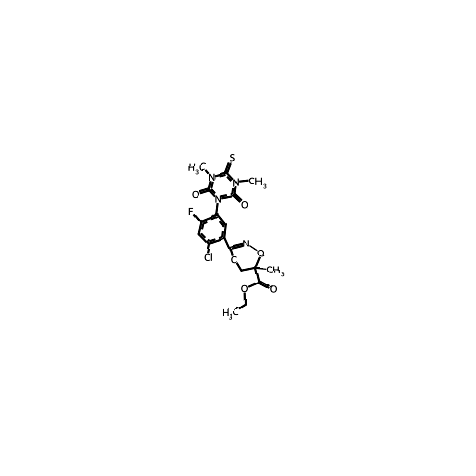 CCOC(=O)C1(C)CCC(c2cc(-n3c(=O)n(C)c(=S)n(C)c3=O)c(F)cc2Cl)=NO1